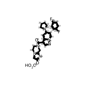 O=C(O)Oc1cn2c(n1)CN(C(=O)c1cnn3ccc(N4CCC[C@@H]4c4cc(F)ccc4F)cc13)CC2